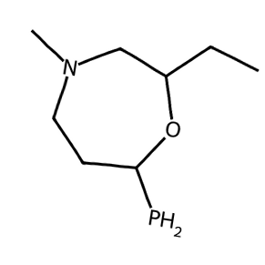 CCC1CN(C)CCC(P)O1